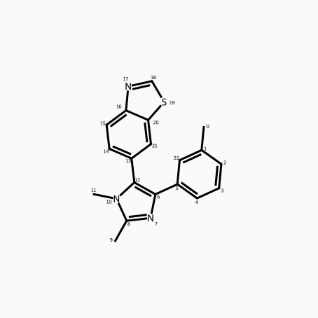 Cc1cccc(-c2nc(C)n(C)c2-c2ccc3ncsc3c2)c1